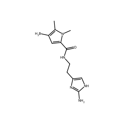 Bc1cc(C(=O)NCCc2c[nH]c(N)n2)n(C)c1C